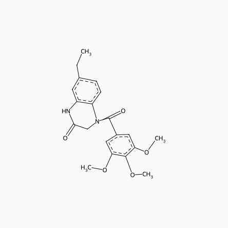 CCc1ccc2c(c1)NC(=O)CN2C(=O)c1cc(OC)c(OC)c(OC)c1